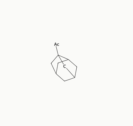 CC(=O)C12CC3CC(CC1C3)C2